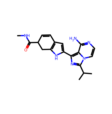 CNC(=O)C1C=Cc2cc(-c3nc(C(C)C)n4ccnc(N)c34)[nH]c2C1